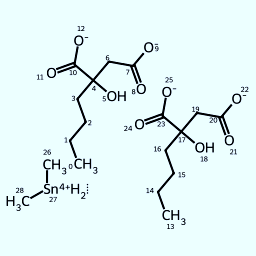 CCCCC(O)(CC(=O)[O-])C(=O)[O-].CCCCC(O)(CC(=O)[O-])C(=O)[O-].[CH3][SnH2+4][CH3]